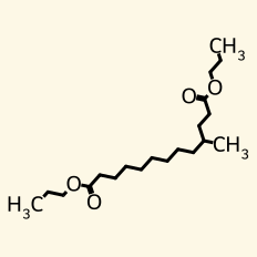 CCCOC(=O)CCCCCCCCC(C)CCC(=O)OCCC